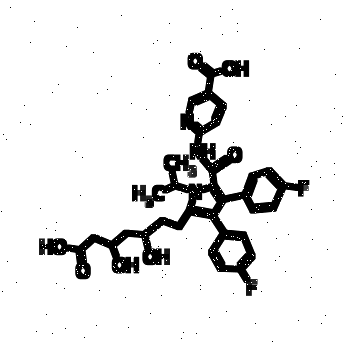 CC(C)n1c(CCC(O)CC(O)CC(=O)O)c(-c2ccc(F)cc2)c(-c2ccc(F)cc2)c1C(=O)Nc1ccc(C(=O)O)cn1